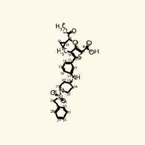 COC(=O)C(Oc1c(C(=O)O)sc(-c2cccc(NC3CCN(S(=O)(=O)Cc4ccccc4)CC3)c2)c1C)C1CC1